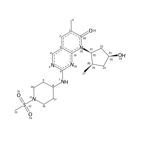 Cc1cc2cnc(NC3CCN(S(C)(=O)=O)CC3)nc2n([C@H]2C[C@@H](O)C[C@H]2C)c1=O